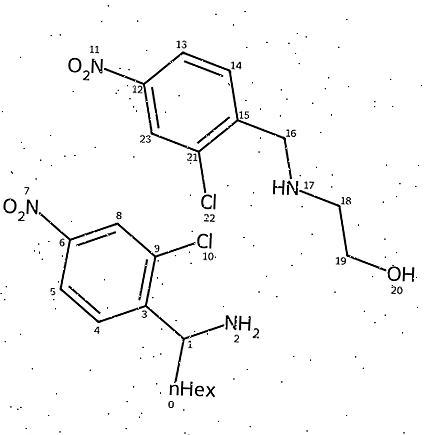 CCCCCCC(N)c1ccc([N+](=O)[O-])cc1Cl.O=[N+]([O-])c1ccc(CNCCO)c(Cl)c1